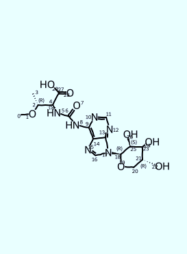 CO[C@H](C)[C@H](NC(=O)Nc1ncnc2c1ncn2[C@@H]1OC[C@@H](O)C(O)[C@@H]1O)C(=O)O